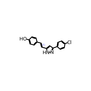 Oc1ccc(/C=C/c2cc(-c3ccc(Cl)cc3)n[nH]2)cc1